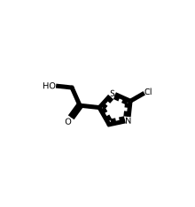 O=C(CO)c1cnc(Cl)s1